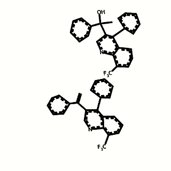 C=C(c1ccccc1)c1cnc2c(C(F)(F)F)cccc2c1-c1ccccc1.CC(O)(c1ccccc1)c1cnc2c(C(F)(F)F)cccc2c1-c1ccccc1